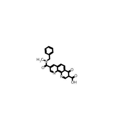 CN(Cc1ccccc1)C(=O)c1cnc2c3c(ccc2c1)C(=O)C(C(=O)O)C=N3